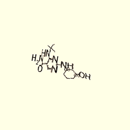 CC(C)(C)Nc1nc(N[C@H]2CCC[C@H](O)C2)ncc1C(N)=O